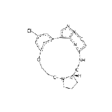 Clc1cc2cc(c1)-c1cnn3ccc(nc13)NC[C@@H]1CCCN1CCCO2